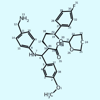 COc1ccc(C(Nc2ccc(CN)cc2)[C@@H](CC[C@H](OC2CCCCO2)c2ccc(F)cc2)C(=O)O)cc1